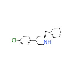 Clc1ccc(C2CCNC(=Cc3ccccc3)C2)cc1